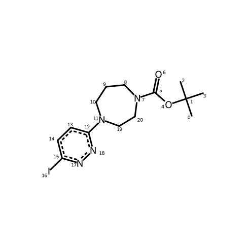 CC(C)(C)OC(=O)N1CCCN(c2ccc(I)nn2)CC1